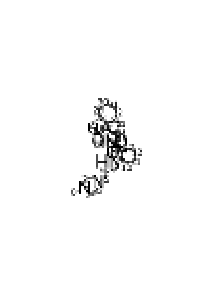 CN1CCN(CCCNc2ccccc2S(=O)(=O)Nc2ccc3c(c2C(=O)O)CCCCC3)CC1